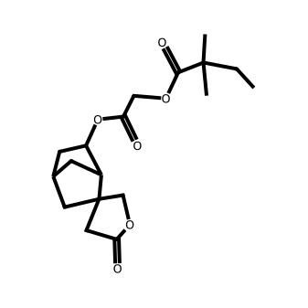 CCC(C)(C)C(=O)OCC(=O)OC1CC2CC1C1(COC(=O)C1)C2